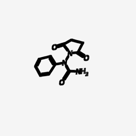 NC(=O)N(c1ccccc1)N1C(=O)CCC1=O